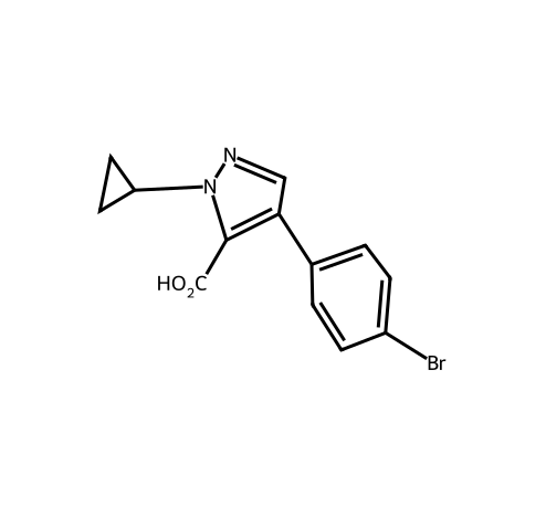 O=C(O)c1c(-c2ccc(Br)cc2)cnn1C1CC1